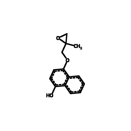 CC1(COc2ccc(O)c3ccccc23)CO1